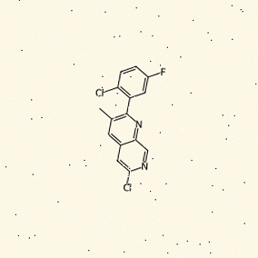 Cc1cc2cc(Cl)ncc2nc1-c1cc(F)ccc1Cl